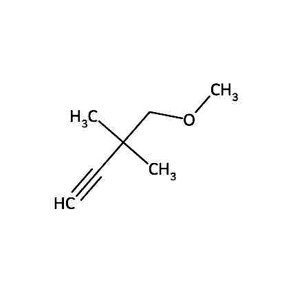 C#CC(C)(C)COC